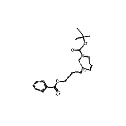 CC(C)(C)OC(=O)N1CCC[C@@H](CCCOC(=O)c2ccccc2)C1